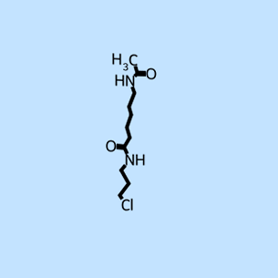 CC(=O)NCCCCCC(=O)NCCCCl